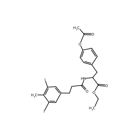 CCOC(=O)C(Cc1ccc(OC(C)=O)cc1)NC(=O)CCc1cc(I)c(C)c(I)c1